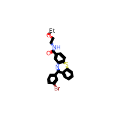 CCOCCNC(=O)c1ccc2c(c1)N=C(c1cccc(Br)c1)c1ccccc1S2